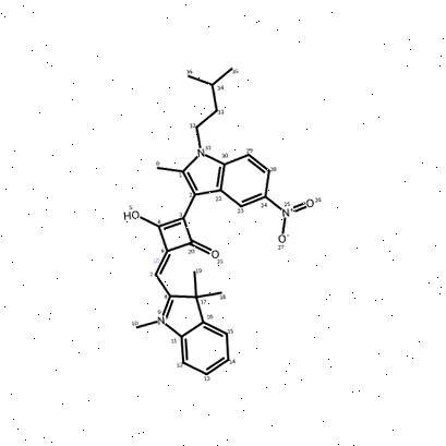 Cc1c(C2=C(O)/C(=C/C3=[N+](C)c4ccccc4C3(C)C)C2=O)c2cc([N+](=O)[O-])ccc2n1CCC(C)C